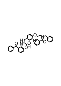 O=C(c1ccccc1)c1ccccc1NC(Cc1ccc(OCCN(Cc2ccccc2)C(=O)c2cccnc2)cc1)C(=O)O